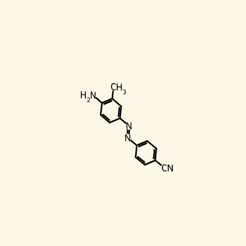 Cc1cc(N=Nc2ccc(C#N)cc2)ccc1N